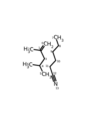 C=C(C)CC(C)C.CCCCCC#N